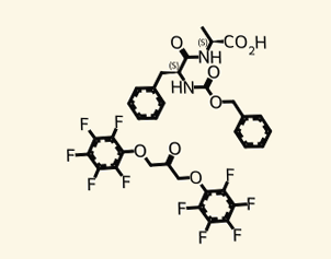 C[C@H](NC(=O)[C@H](Cc1ccccc1)NC(=O)OCc1ccccc1)C(=O)O.O=C(COc1c(F)c(F)c(F)c(F)c1F)COc1c(F)c(F)c(F)c(F)c1F